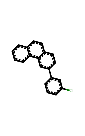 Clc1cccc(-c2ccc3ccc4ccccc4c3c2)c1